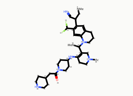 CNCC(C=N)c1cc2c(cc1C(F)F)N(C(NC)C1=C(NC3CCN(C(=O)CC4CCNCC4)CC3)CCN(C(C)=O)C1)CCC2